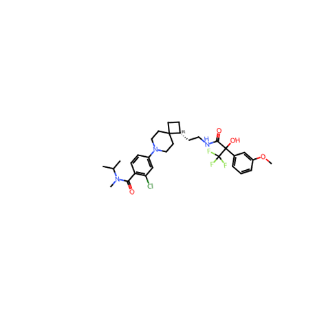 COc1cccc(C(O)(C(=O)NCC[C@H]2CCC23CCN(c2ccc(C(=O)N(C)C(C)C)c(Cl)c2)CC3)C(F)(F)F)c1